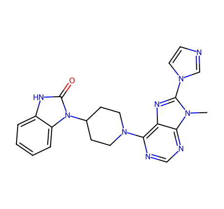 Cn1c(-n2ccnc2)nc2c(N3CCC(n4c(=O)[nH]c5ccccc54)CC3)ncnc21